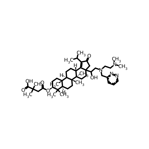 CC(C)C1=C2[C@H]3CC[C@@H]4[C@@]5(C)CC[C@H](OC(=O)CC(C)(C)C(=O)O)C(C)(C)[C@@H]5CC[C@@]4(C)[C@]3(C)CCC2(C(O)CN(CCN(C)C)Cc2cccnn2)CC1=O